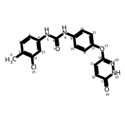 Cc1ccc(NC(=O)Nc2ccc(Oc3ccc(=O)[nH]n3)cc2)cc1Cl